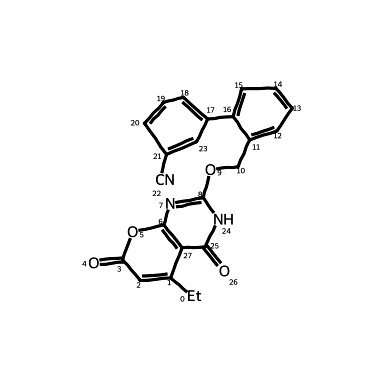 CCc1cc(=O)oc2nc(OCc3ccccc3-c3cccc(C#N)c3)[nH]c(=O)c12